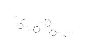 COC(=O)c1nn(C)cc1NC(=O)c1cccc(Cn2nc(-c3cncc(CCC(=O)OC(C)(C)C)c3)ccc2=O)c1